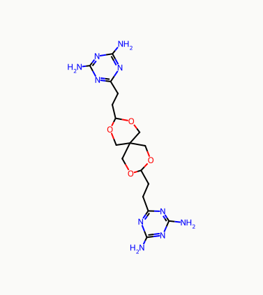 Nc1nc(N)nc(CCC2OCC3(CO2)COC(CCc2nc(N)nc(N)n2)OC3)n1